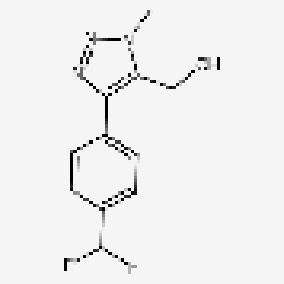 Cn1nnc(-c2ccc(C(F)F)cc2)c1CO